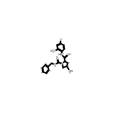 Cc1cc(I)ccc1NC(=O)C1CC(O)CN1C(=O)OCc1ccccc1